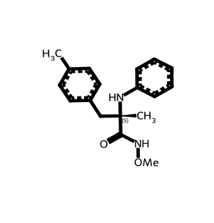 CONC(=O)[C@](C)(Cc1ccc(C)cc1)Nc1ccccc1